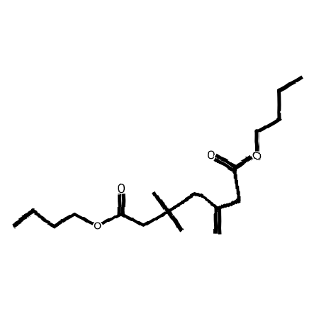 C=C(CC(=O)OCCCC)CC(C)(C)CC(=O)OCCCC